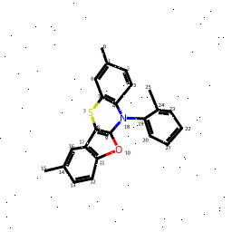 Cc1ccc2c(c1)Sc1c(oc3ccc(C)cc13)N2c1ccccc1C